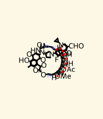 CO[C@H]1/C=C/O[C@@]2(C)Oc3c(C)c(O)c4c(c3C2=O)C(=O)C(N[C@@H]2CCN(c3cc5c(cc3F)c(=O)c(C=O)cn5C3CC3)C2)=C(NC(=O)/C(C)=C\C=C\[C@H](C)[C@H](O)[C@@H](C)[C@@H](O)[C@@H](C)[C@H](OC(C)=O)[C@@H]1C)C4=O